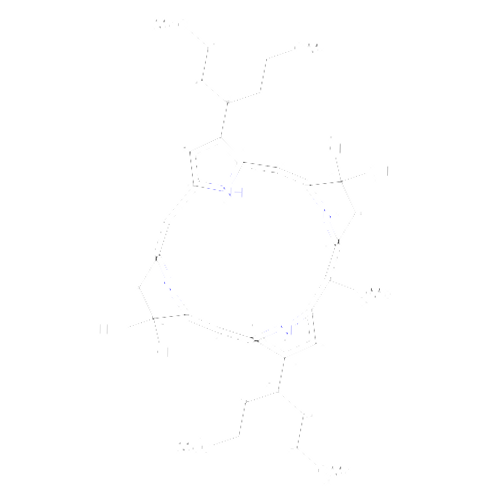 COCCC(CCOC)c1cc2cc3nc(cc4[nH]c(cc4C(CCOC)CCOC)c(OC)c4nc(cc1[nH]2)C(C)(C)C4)C(C)(C)C3